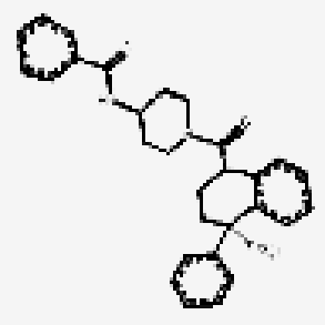 O=C(NC1CCN(C(=O)[C@@H]2CC[C@](C(=O)O)(c3ccccc3)c3ccccc32)CC1)c1ccccc1